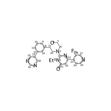 CCn1c(N2CCOC(c3cccc(-c4cncnc4)c3)C2)nc(-c2ccncc2F)cc1=O